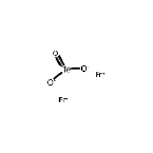 O=[Te]([O-])[O-].[Fr+].[Fr+]